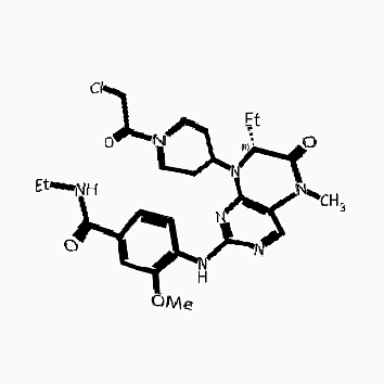 CCNC(=O)c1ccc(Nc2ncc3c(n2)N(C2CCN(C(=O)CCl)CC2)[C@H](CC)C(=O)N3C)c(OC)c1